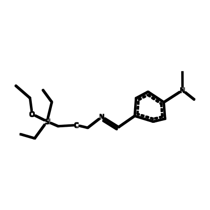 CCO[Si](CC)(CC)CCCN=Cc1ccc(N(C)C)cc1